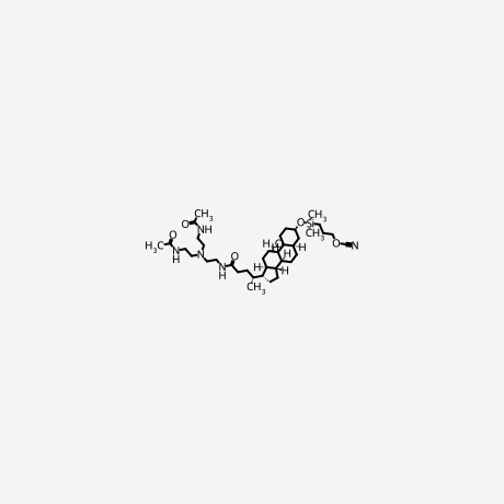 CC(=O)NCCN(CCNC(C)=O)CCNC(=O)CC[C@@H](C)[C@H]1CC[C@@H]2[C@@H]1CC[C@H]1[C@H]2CC[C@@H]2C[C@H](O[Si](C)(C)CCCOC#N)CC[C@@]21C